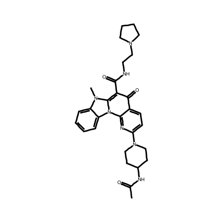 CC(=O)NC1CCN(c2ccc3c(=O)c(C(=O)NCCN4CCCC4)c4n(C)c5ccccc5n4c3n2)CC1